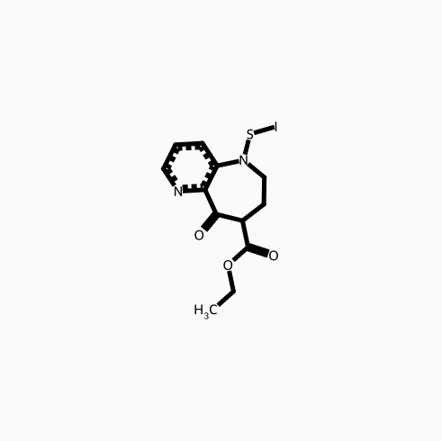 CCOC(=O)C1CCN(SI)c2cccnc2C1=O